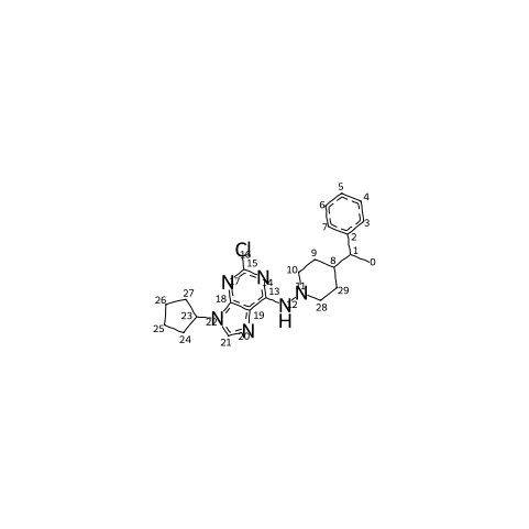 CC(c1ccccc1)C1CCN(Nc2nc(Cl)nc3c2ncn3C2CCCC2)CC1